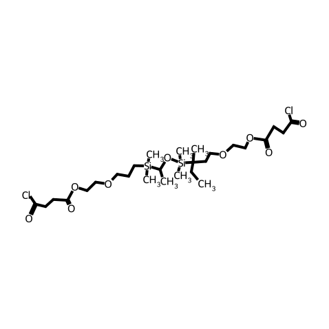 CCC(C)(CCOCCOC(=O)CCC(=O)Cl)[Si](C)(C)OC(C)[Si](C)(C)CCCOCCOC(=O)CCC(=O)Cl